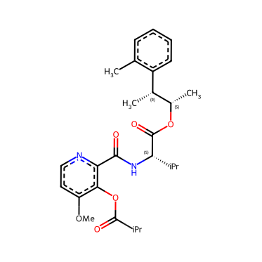 COc1ccnc(C(=O)N[C@H](C(=O)O[C@@H](C)[C@H](C)c2ccccc2C)C(C)C)c1OC(=O)C(C)C